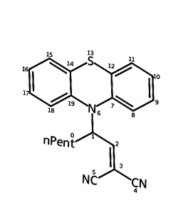 CCCCCC(C=C(C#N)C#N)N1c2ccccc2Sc2ccccc21